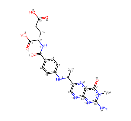 [2H]C(Nc1ccc(C(=O)N[C@@H](CCC(=O)O)C(=O)O)cc1)c1cnc2nc(N)n([2H])c(=O)c2n1